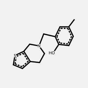 Cc1ccc(O)c(CN2CCc3ccsc3C2)c1